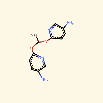 CCCCC(Oc1ccc(N)cn1)Oc1ccc(N)cn1